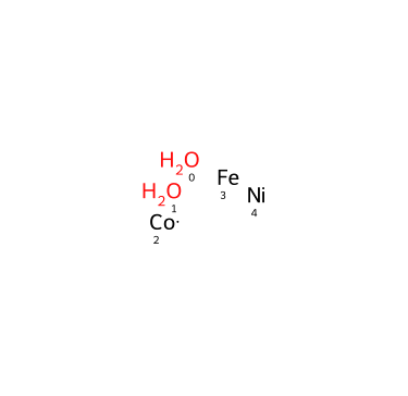 O.O.[Co].[Fe].[Ni]